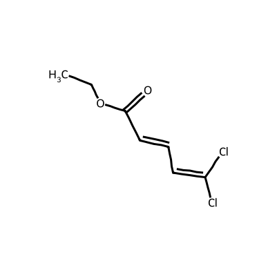 CCOC(=O)C=CC=C(Cl)Cl